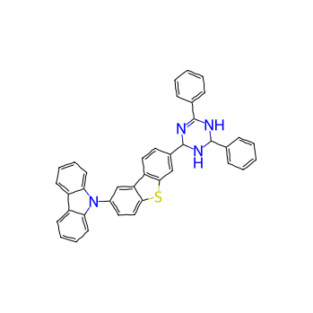 c1ccc(C2=NC(c3ccc4c(c3)sc3ccc(-n5c6ccccc6c6ccccc65)cc34)NC(c3ccccc3)N2)cc1